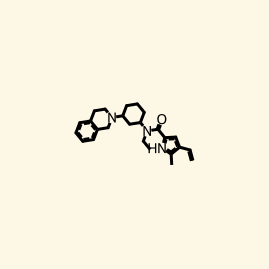 C=Cc1cc(C(=O)N(CC)C2CCCC(N3CCc4ccccc4C3)C2)[nH]c1C